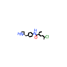 C=C/C(=C\C=C(/C)Cl)C(=O)Nc1ccc(C[C@@H]2CCN2)cc1